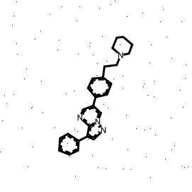 c1ccc(-c2cnn3cc(-c4ccc(CCN5CCCCC5)cc4)cnc23)cc1